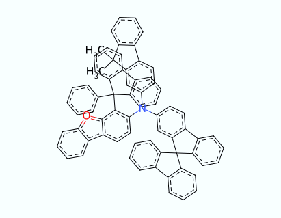 CC1(C)c2ccccc2-c2ccc(N(c3ccc4c(c3)C3(c5ccccc5-c5ccccc53)c3ccccc3-4)c3ccc4c(oc5ccccc54)c3C3(c4ccccc4)c4ccccc4-c4ccccc43)cc21